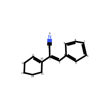 N#CC(=Cc1ccccc1)C1=CCCCC1